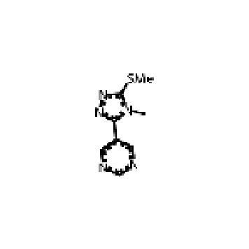 CSc1nnc(-c2cncnc2)n1C